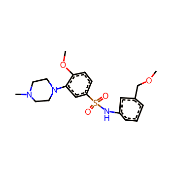 COCc1cccc(NS(=O)(=O)c2ccc(OC)c(N3CCN(C)CC3)c2)c1